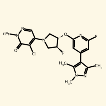 CCCn1ncc(N2C[C@H](Oc3cc(-c4c(C)nn(C)c4C)cc(F)n3)[C@@H](F)C2)c(Cl)c1=O